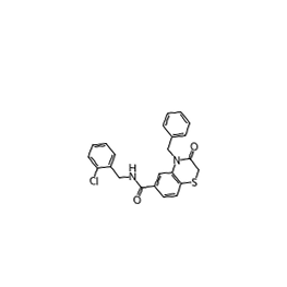 O=C(NCc1ccccc1Cl)c1ccc2c(c1)N(Cc1ccccc1)C(=O)CS2